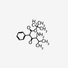 CC(C)[C@H](N)C(=O)[C](C(=O)OC(C)(C)C)c1ccccc1